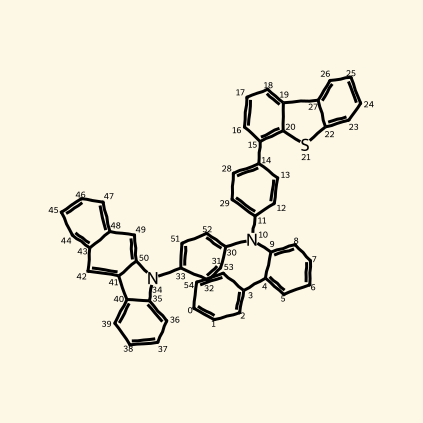 c1ccc(-c2ccccc2N(c2ccc(-c3cccc4c3sc3ccccc34)cc2)c2ccc(-n3c4ccccc4c4cc5ccccc5cc43)cc2)cc1